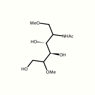 COCC(NC(C)=O)[C@@H](O)[C@@H](O)C(CO)OC